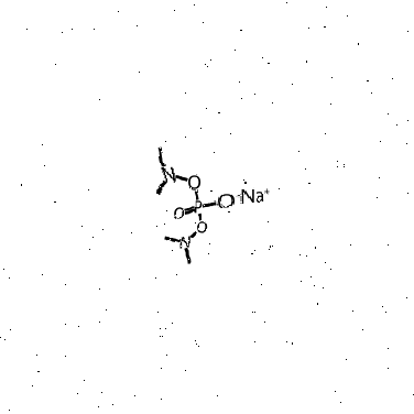 CN(C)OP(=O)([O-])ON(C)C.[Na+]